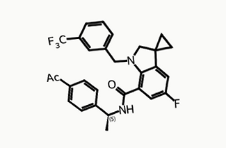 CC(=O)c1ccc([C@H](C)NC(=O)c2cc(F)cc3c2N(Cc2cccc(C(F)(F)F)c2)CC32CC2)cc1